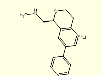 CNC[C@H]1OCCc2ccc(-c3ccncc3)cc21.Cl